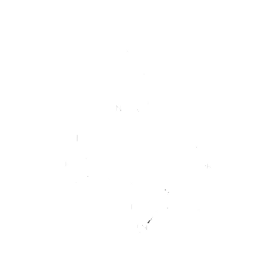 N[C@@H]1C(=O)N2C(C(=O)O)=C(/C=C3\CCN(CC4CC4)C3=O)CS[C@H]12.O=C(O)C(F)(F)F